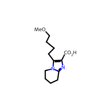 COCCCCc1c(C(=O)O)nc2n1CCCC2